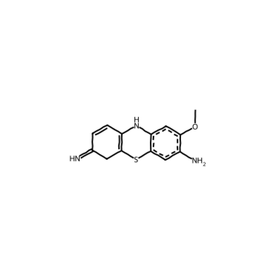 COc1cc2c(cc1N)SC1=C(C=CC(=N)C1)N2